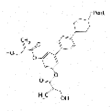 C=C(CO)C(=O)Oc1cc(OC(=O)C(=C)CO)cc(-c2ccc(C3CCC(CCCCC)CC3)cc2)c1